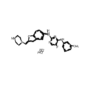 Cl.Cl.Oc1cccc(Nc2nc(Nc3ccc4c(c3)CC(=CN3CCNCC3)O4)ncc2F)c1